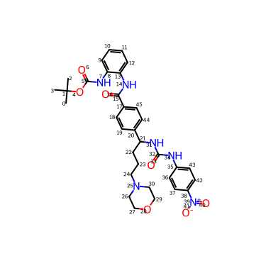 CC(C)(C)OC(=O)Nc1ccccc1NC(=O)c1ccc(C(CCCN2CCOCC2)NC(=O)Nc2ccc([N+](=O)[O-])cc2)cc1